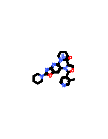 Cc1cnccc1C1OC=C(C(N)=O)N1c1cc2oc(N3CCCCC3)nc2nc1N1CCCCC1